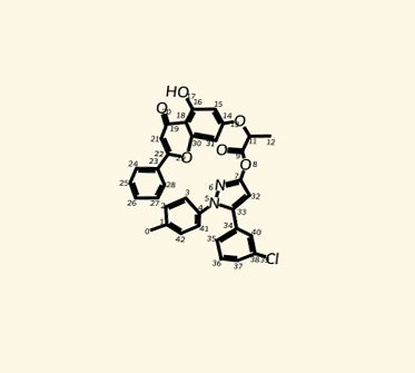 Cc1ccc(-n2nc(OC(=O)C(C)Oc3cc(O)c4c(=O)cc(-c5ccccc5)oc4c3)cc2-c2cccc(Cl)c2)cc1